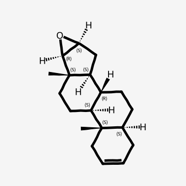 C[C@]12CC=CC[C@@H]1CC[C@@H]1[C@@H]2CC[C@@]2(C)[C@H]1C[C@@H]1O[C@@H]12